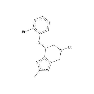 CCN1Cc2cc(C)sc2C(Oc2ccccc2Br)C1